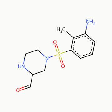 Cc1c(N)cccc1S(=O)(=O)N1CCNC(C=O)C1